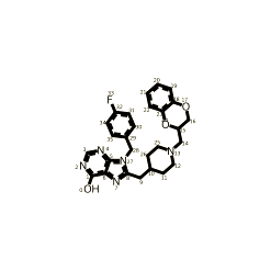 Oc1ncnc2c1nc(CC1CCN(CC3COc4ccccc4O3)CC1)n2Cc1ccc(F)cc1